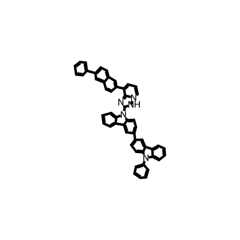 C1=CN2NC(n3c4ccccc4c4cc(-c5ccc6c(c5)c5ccccc5n6-c5ccccc5)ccc43)N=C2C(c2ccc3cc(-c4ccccc4)ccc3c2)=C1